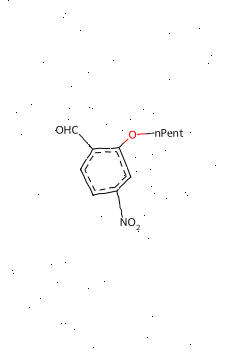 CCCCCOc1cc([N+](=O)[O-])ccc1C=O